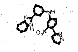 O=[N+]([O-])c1cc(Nc2cccc(-c3nc4ccccc4[nH]3)c2)ccc1-c1cccnn1